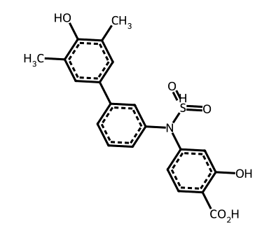 Cc1cc(-c2cccc(N(c3ccc(C(=O)O)c(O)c3)[SH](=O)=O)c2)cc(C)c1O